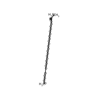 CC(=O)CCOCCOCCOCCOCCCCCOCCOCCOCCOCCOCCOCCOCCOCCOCCOCCOCCOCCOCCOCCOCCOCCOCCOCCOCCOCc1cn(CCCCC(C)C)nn1